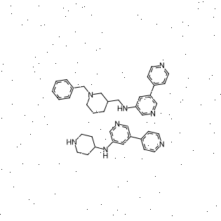 c1cc(-c2cncc(NC3CCNCC3)c2)ccn1.c1ccc(CN2CCCC(CNc3cncc(-c4ccncc4)c3)C2)cc1